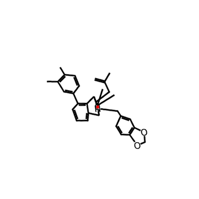 C=C(C)CC1C2c3c(-c4ccc(C)c(C)c4)cccc3C(CC2(C)C)N1Cc1ccc2c(c1)OCO2